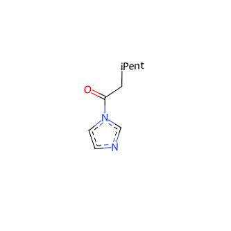 CCCC(C)CC(=O)n1ccnc1